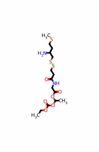 CCOC(=O)OC(C)OC(=O)CNC(=O)CCSSCC(N)CCSC